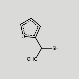 O=CC(S)c1ccco1